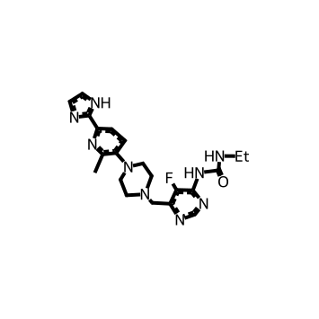 CCNC(=O)Nc1ncnc(CN2CCN(c3ccc(-c4ncc[nH]4)nc3C)CC2)c1F